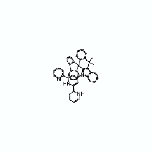 CC1(C)c2ccccc2C2(c3ccccc3-c3ccccc32)c2c1c1ccccc1n2C1=CC(c2ccccn2)NC(C2C=CC=CN2)=C1